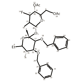 CCC1O[C@](C)(O[C@H]2OC(COC(C)=O)[C@@H](OC(C)=O)C(F)C2C)C(OCc2ccccc2)[C@@H](OCc2ccccc2)[C@@H]1C